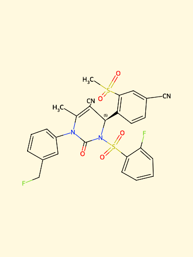 CC1=C(C#N)[C@@H](c2ccc(C#N)cc2S(C)(=O)=O)N(S(=O)(=O)c2ccccc2F)C(=O)N1c1cccc(CF)c1